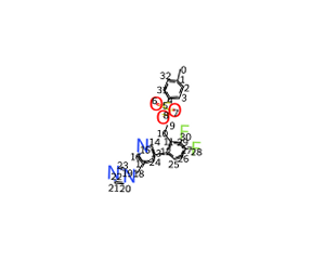 Cc1ccc(S(=O)(=O)OCCc2c(-c3cncc(Cn4ccnc4)c3)ccc(F)c2F)cc1